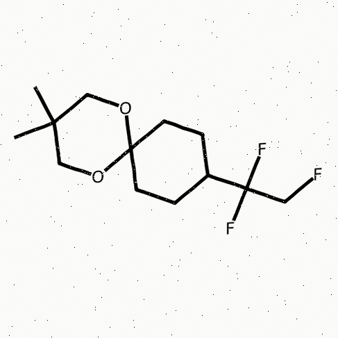 CC1(C)COC2(CCC(C(F)(F)CF)CC2)OC1